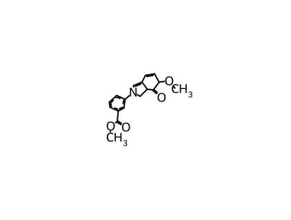 COC(=O)c1cccc(N2C=C3C=CC(OC)C(=O)C3C2)c1